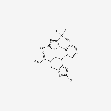 C=CC(=O)N1Cc2sc(Cl)cc2C(c2ccccc2-c2cn(C(C)C)nc2C(F)(F)P)C1